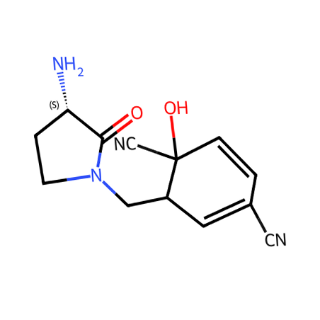 N#CC1=CC(CN2CC[C@H](N)C2=O)C(O)(C#N)C=C1